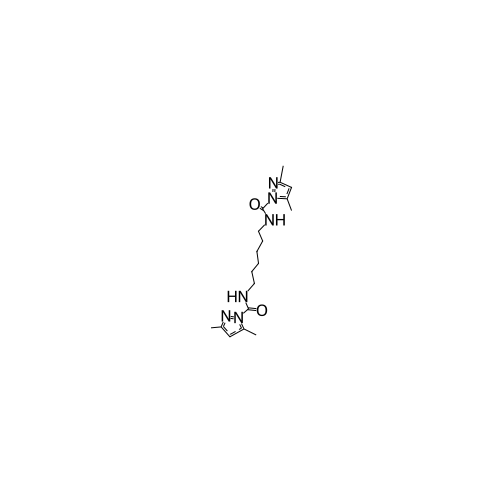 Cc1cc(C)n(C(=O)NCCCCCCNC(=O)n2nc(C)cc2C)n1